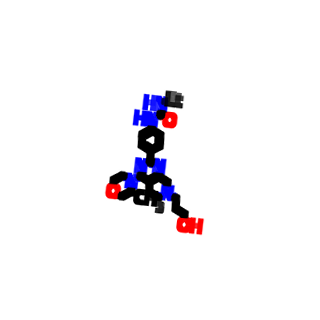 CCNC(=O)Nc1ccc(-c2nc3c(c(N4CCOC[C@@H]4C)n2)CCN(CCCO)C3)cc1